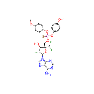 COc1ccc(OP(=S)(OC[C@@]2(C(F)F)O[C@@H](n3cnc4c(N)ncnc43)[C@H](F)[C@H]2O)Oc2ccc(OC)cc2)cc1